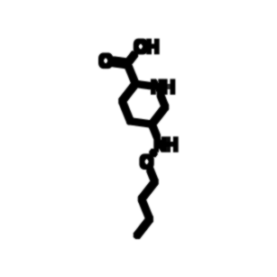 CCCCONC1CCC(C(=O)O)NC1